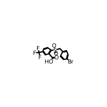 O=C(O)c1cc(C(F)(F)F)ccc1S(=O)(=O)Cc1ccc(Br)cc1